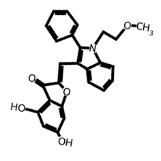 COCCn1c(-c2ccccc2)c(C=C2Oc3cc(O)cc(O)c3C2=O)c2ccccc21